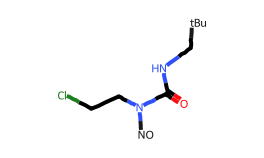 CC(C)(C)CNC(=O)N(CCCl)N=O